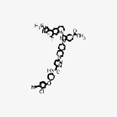 CC(=O)N1CCc2c(c(N3CCCc4cc(-c5cnn(C)c5)c(C(F)F)cc43)nn2C2CCC3(CC2)CCN(c2ccc(C(=O)NC4CCC(Oc5ccc(C#N)c(Cl)c5)CC4)nn2)CC3)C1